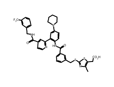 Cc1nc(SCc2cccc(C(=O)Nc3ccc(N4CCCCC4)cc3-c3cc(C(=O)NCc4cccc(C(F)(F)F)c4)ccn3)c2)sc1CC(=O)O